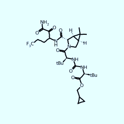 CC(C)(C)[C@H](NC(=O)N[C@H](C(=O)N1C[C@H]2[C@@H]([C@H]1C(=O)NC(CCC(F)(F)F)C(=O)C(N)=O)C2(C)C)C(C)(C)C)C(=O)OCC1CC1